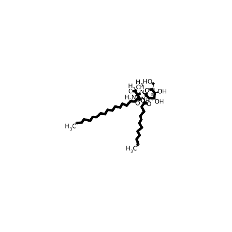 CCCCCCCCCCCCCCCCCCN(C(=O)CCCCCCCCCCC)[C@@]1(N[C@](N)(C(=O)O)C(C)C)C[C@@H](O)[C@H](O)[C@@H](CO)O1